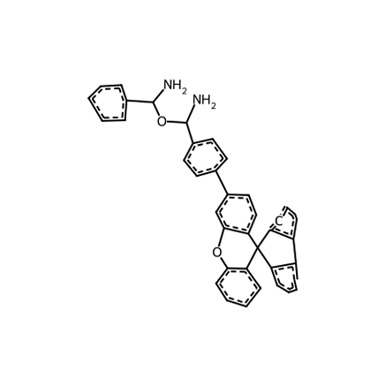 NC(OC(N)c1ccc(-c2ccc3c(c2)Oc2ccccc2C32c3ccccc3-c3ccccc32)cc1)c1ccccc1